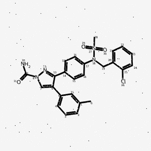 Cc1cccc(-c2[c]n(C(N)=O)nc2-c2ccc(N(Cc3ccccc3Cl)S(C)(=O)=O)cc2)c1